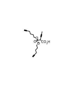 C#CCCCCOP(=O)(OCCCCC#C)C(C#CC)C(=O)O